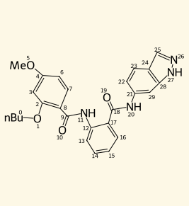 CCCCOc1cc(OC)ccc1C(=O)Nc1ccccc1C(=O)Nc1ccc2cn[nH]c2c1